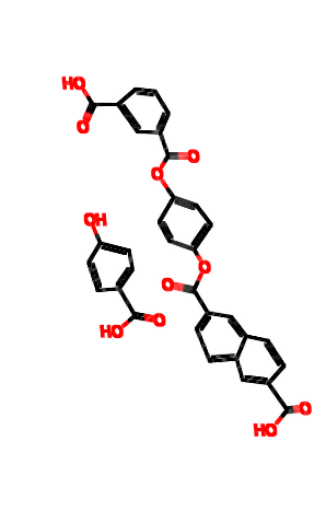 O=C(O)c1ccc(O)cc1.O=C(O)c1cccc(C(=O)Oc2ccc(OC(=O)c3ccc4cc(C(=O)O)ccc4c3)cc2)c1